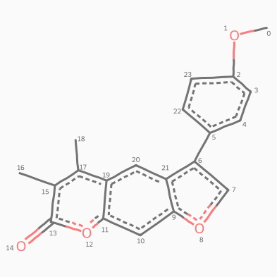 COc1ccc(-c2coc3cc4oc(=O)c(C)c(C)c4cc23)cc1